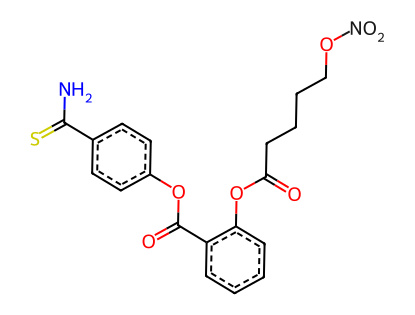 NC(=S)c1ccc(OC(=O)c2ccccc2OC(=O)CCCCO[N+](=O)[O-])cc1